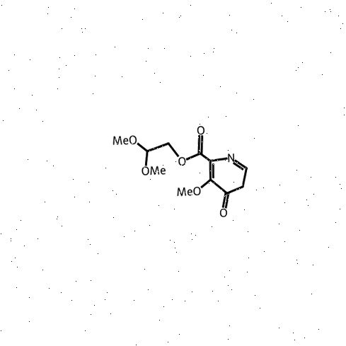 COC1=C(C(=O)OCC(OC)OC)N=CCC1=O